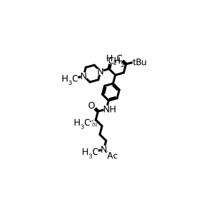 C=C(C(CC(=C)C(C)(C)C)c1ccc(NC(=O)[C@@H](C)CCCN(C)C(C)=O)cc1)N1CCN(C)CC1